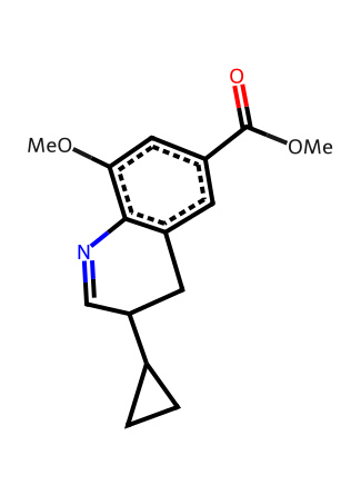 COC(=O)c1cc2c(c(OC)c1)N=CC(C1CC1)C2